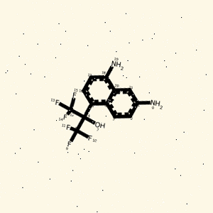 Nc1ccc2c(C(O)(C(F)(F)F)C(F)(F)F)ccc(N)c2c1